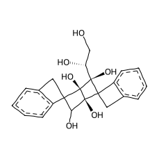 OC[C@@H](O)[C@]1(O)C2(Cc3ccccc32)[C@]2(O)C(O)C3(Cc4ccccc43)[C@@]21O